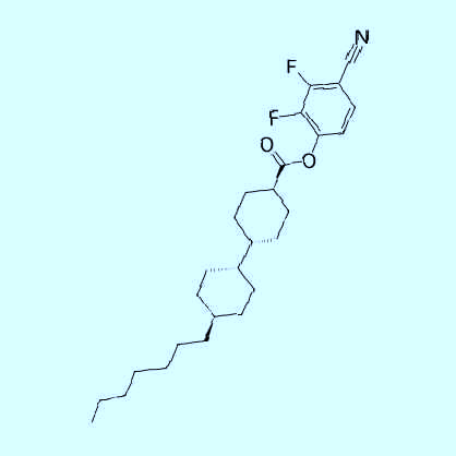 CCCCCCC[C@H]1CC[C@H]([C@H]2CC[C@H](C(=O)Oc3ccc(C#N)c(F)c3F)CC2)CC1